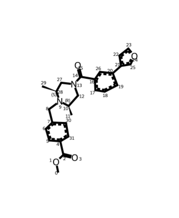 COC(=O)c1ccc(CN2[C@H](C)CN(C(=O)c3cccc(-c4ccoc4)c3)C[C@@H]2C)cc1